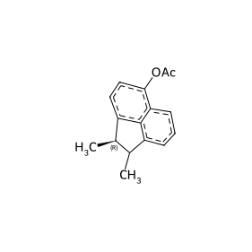 CC(=O)Oc1ccc2c3c(cccc13)C(C)[C@H]2C